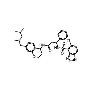 CC(C)CN(C)Cc1ccc2c(c1)OCCC2NC(=O)CC(NS(=O)(=O)c1c(Cl)ccc2nonc12)c1ccccc1